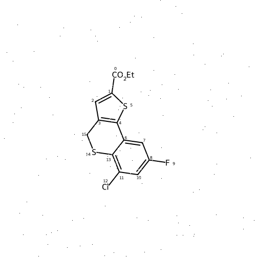 CCOC(=O)c1cc2c(s1)-c1cc(F)cc(Cl)c1SC2